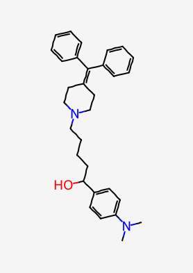 CN(C)c1ccc(C(O)CCCCN2CCC(=C(c3ccccc3)c3ccccc3)CC2)cc1